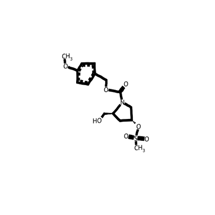 COc1ccc(COC(=O)N2C[C@H](OS(C)(=O)=O)C[C@H]2CO)cc1